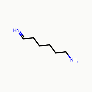 N=CCC[CH]CCN